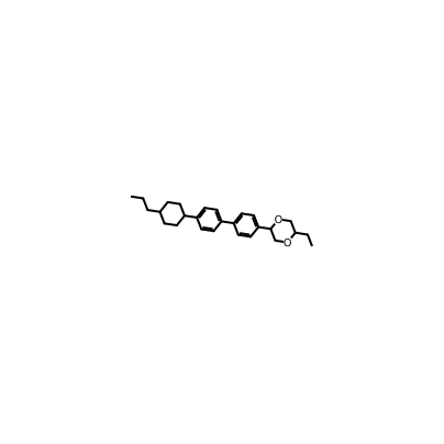 CCCC1CCC(c2ccc(-c3ccc(C4COC(CC)CO4)cc3)cc2)CC1